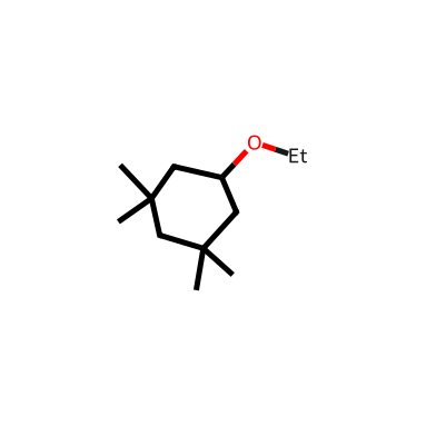 CCOC1CC(C)(C)CC(C)(C)C1